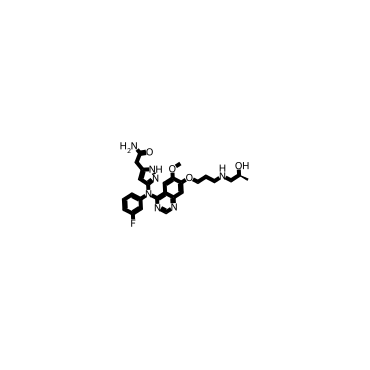 COc1cc2c(N(c3cccc(F)c3)c3cc(CC(N)=O)[nH]n3)ncnc2cc1OCCCNC[C@H](C)O